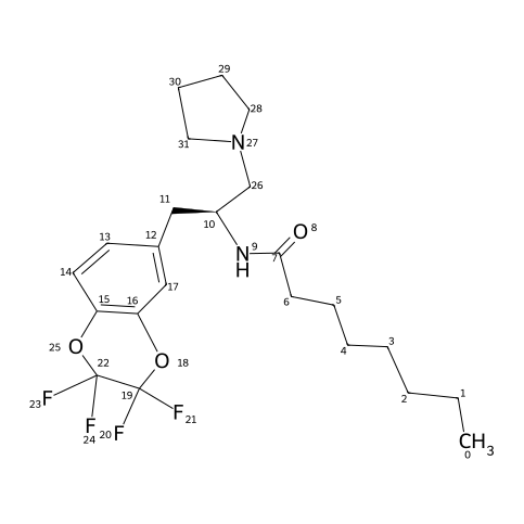 CCCCCCCC(=O)N[C@@H](Cc1ccc2c(c1)OC(F)(F)C(F)(F)O2)CN1CCCC1